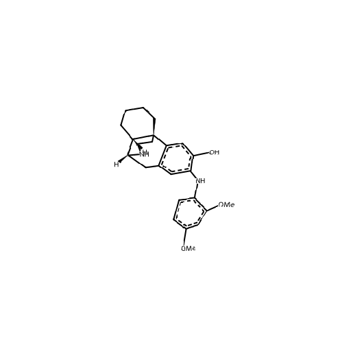 COc1ccc(Nc2cc3c(cc2O)[C@@]24CCCC[C@H]2[C@@H](C3)NCC4)c(OC)c1